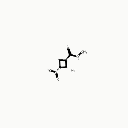 COC(=O)[C@H]1C[C@H](S(=O)[O-])C1.[Na+]